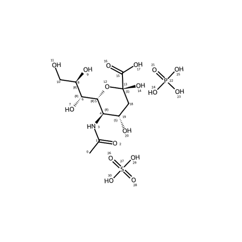 CC(=O)N[C@H]1[C@H]([C@H](O)[C@H](O)CO)O[C@](O)(C(=O)O)C[C@@H]1O.O=P(O)(O)O.O=S(=O)(O)O